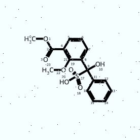 COC(=O)c1cccc(C(O)(c2ccccc2)S(=O)(=O)O)c1OC